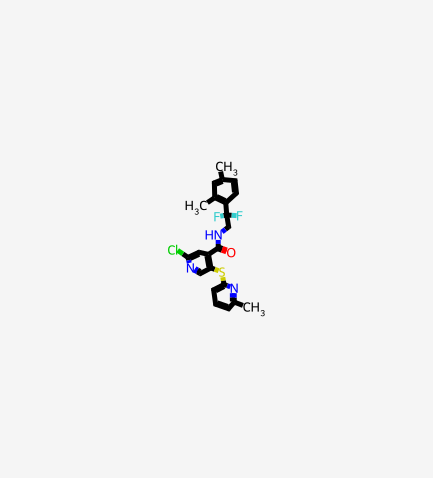 Cc1ccc(C(F)(F)CNC(=O)c2cc(Cl)ncc2Sc2cccc(C)n2)c(C)c1